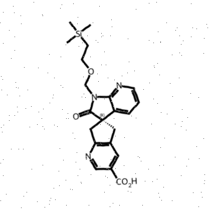 C[Si](C)(C)CCOCN1C(=O)[C@@]2(Cc3cc(C(=O)O)cnc3C2)c2cccnc21